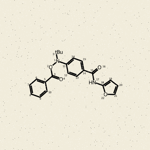 CC(C)(C)N(OC(=O)c1ccccc1)c1ccc(C(=O)Nc2ccco2)cc1